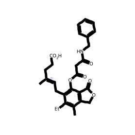 CCc1c(C)c2c(c(OC(=O)CC(=O)NCc3ccccc3)c1C/C=C(\C)CCC(=O)O)C(=O)OC2